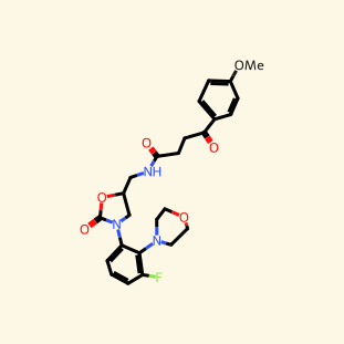 COc1ccc(C(=O)CCC(=O)NCC2CN(c3cccc(F)c3N3CCOCC3)C(=O)O2)cc1